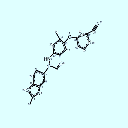 Cc1nc2cc(N(C=O)Nc3ccc(Oc4ccnc(C#N)c4)c(C)c3)ccc2s1